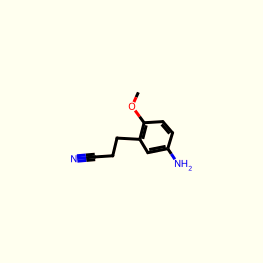 COc1ccc(N)cc1CCC#N